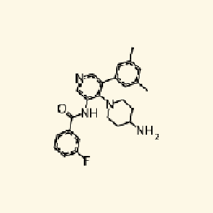 Cc1cc(C)cc(-c2cncc(NC(=O)c3cccc(F)c3)c2N2CCC(N)CC2)c1